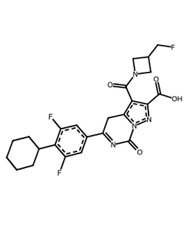 O=C(O)c1nn2c(c1C(=O)N1CC(CF)C1)CC(c1cc(F)c(C3CCCCC3)c(F)c1)=NC2=O